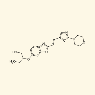 CCC(CO)Oc1ccc2nc(/C=C/c3cnc(N4CCOCC4)s3)oc2c1